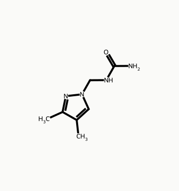 Cc1cn(CNC(N)=O)nc1C